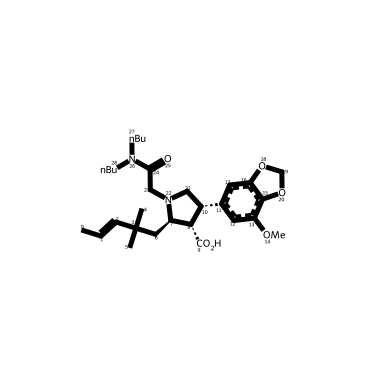 C/C=C/C(C)(C)C[C@@H]1[C@@H](C(=O)O)[C@@H](c2cc(OC)c3c(c2)OCO3)CN1CC(=O)N(CCCC)CCCC